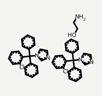 Clc1ccccc1C(c1ccccc1)(c1ccccc1)n1ccnc1.Clc1ccccc1C(c1ccccc1)(c1ccccc1)n1ccnc1.NCCO